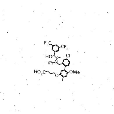 COc1cc(C)c(OCCCC(=O)O)cc1-c1ccc(Cl)cc1CN(C(C)C)C(C)C(O)c1cc(C(F)(F)F)cc(C(F)(F)F)c1